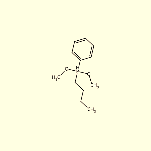 CCCC[PH](OC)(OC)c1ccccc1